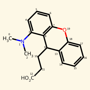 CN(C)c1cccc2c1C(CCC(=O)O)c1ccccc1O2